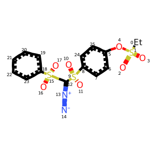 CCS(=O)(=O)Oc1ccc(S(=O)(=O)C(=[N+]=[N-])S(=O)(=O)c2ccccc2)cc1